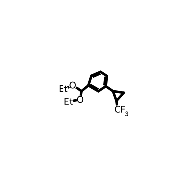 CCOC(OCC)c1cccc(C2CC2C(F)(F)F)c1